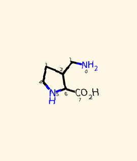 NCC1CCNC1C(=O)O